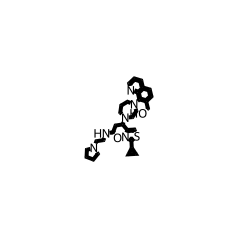 O=C(CC(c1csc(C2CC2)n1)N1CCCN(c2c(CO)ccc3cccnc23)CC1)NCCN1CCCC1